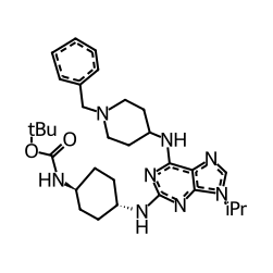 CC(C)n1cnc2c(NC3CCN(Cc4ccccc4)CC3)nc(N[C@H]3CC[C@H](NC(=O)OC(C)(C)C)CC3)nc21